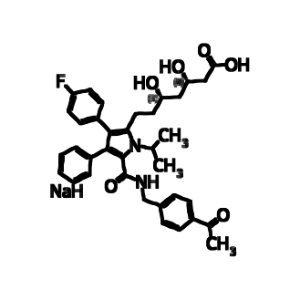 CC(=O)c1ccc(CNC(=O)c2c(-c3ccccc3)c(-c3ccc(F)cc3)c(CC[C@@H](O)C[C@@H](O)CC(=O)O)n2C(C)C)cc1.[NaH]